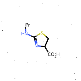 CC(C)NC1=NC(C(=O)O)CS1